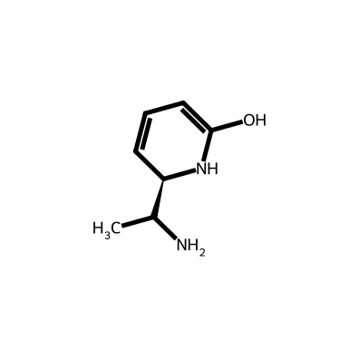 CC(N)[C@H]1C=CC=C(O)N1